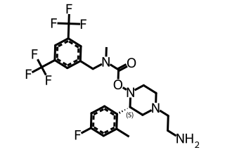 Cc1cc(F)ccc1[C@H]1CN(CCN)CCN1OC(=O)N(C)Cc1cc(C(F)(F)F)cc(C(F)(F)F)c1